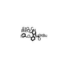 CCOC(=O)c1ncc2c(c1COC)c1c(OCc3cccnc3)cccc1n2C(=O)OC(C)(C)C